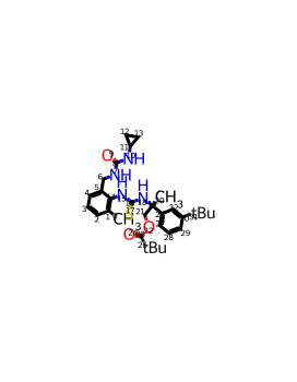 Cc1cccc(CNC(=O)NC2CC2)c1NC(=S)NC(C)(COC(=O)C(C)(C)C)c1cccc(C(C)(C)C)c1